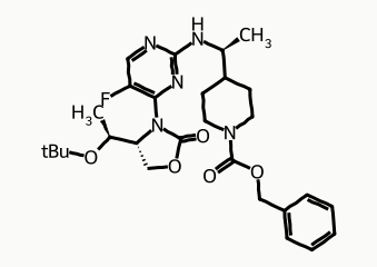 C[C@H](Nc1ncc(F)c(N2C(=O)OC[C@@H]2[C@H](C)OC(C)(C)C)n1)C1CCN(C(=O)OCc2ccccc2)CC1